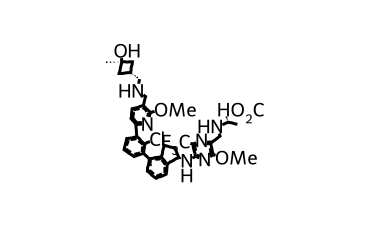 COc1nc(-c2cccc(-c3cccc4c3CC[C@@H]4Nc3nc(OC)c(CN[C@@H](C)C(=O)O)nc3C(F)(F)F)c2Cl)ccc1CNC[C@H]1C[C@](C)(O)C1